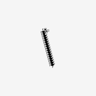 FC(F)(F)C(F)(F)C(F)(F)C(F)(F)C(F)(F)C(F)(F)C(F)(F)C(F)(F)C(F)(F)C(F)(F)C(F)(F)C(F)(F)C(F)(F)C(F)(F)C(F)(F)C(F)(F)C(F)(F)[Si](Cl)(Cl)Cl